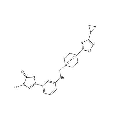 CCn1cc(-c2cccc(NCC34CCC(c5nc(C6CC6)no5)(CC3)CC4)c2)oc1=O